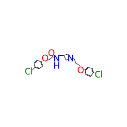 O=C(COc1ccc(Cl)cc1)NCC1CN(CCCOc2ccc(Cl)cc2)C1